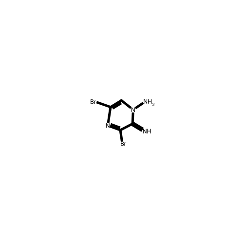 N=c1c(Br)nc(Br)cn1N